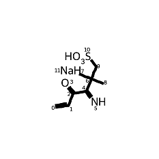 C=CC(=O)C(=N)C(C)(C)CS(=O)(=O)O.[NaH]